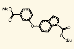 COC(=O)c1cccc(Oc2ccc3c(ccn3C(=O)OC(C)(C)C)c2)c1